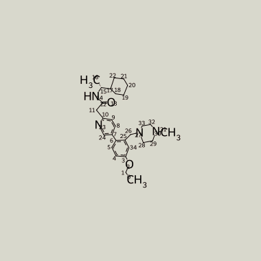 CCOc1ccc(-c2ccc(CC(=O)N[C@H](C)C3CCCCC3)nc2)c(CN2CCN(C)CC2)c1